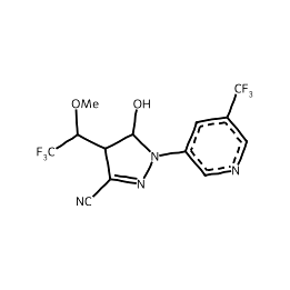 COC(C1C(C#N)=NN(c2cncc(C(F)(F)F)c2)C1O)C(F)(F)F